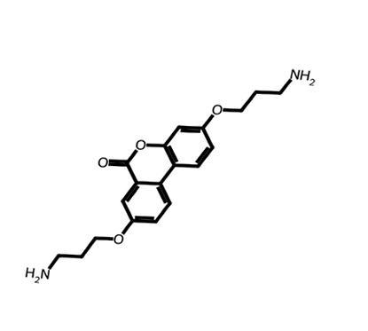 NCCCOc1ccc2c(c1)oc(=O)c1cc(OCCCN)ccc12